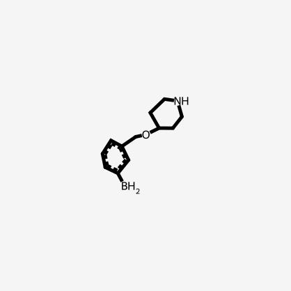 Bc1cccc(COC2CCNCC2)c1